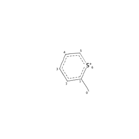 Cc1cccc[s+]1